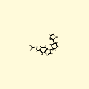 CC(C)OCc1ccc2c(c1)ncn2-c1cccc(-c2nccs2)c1